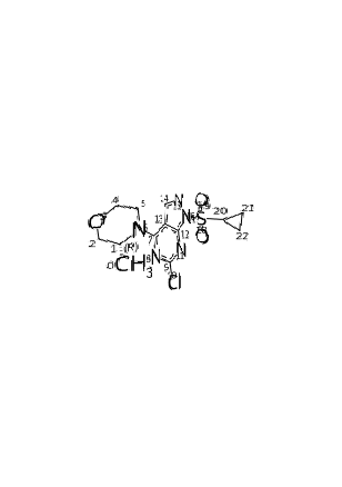 C[C@@H]1COCCN1c1nc(Cl)nc2c1cnn2S(=O)(=O)C1CC1